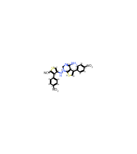 N#Cc1scc(NN2CN=C(N)c3c(-c4ccc([N+](=O)[O-])cc4)csc32)c1-c1ccc([N+](=O)[O-])cc1